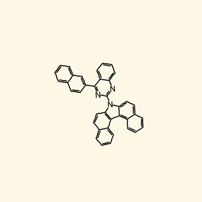 c1ccc2cc(-c3nc(-n4c5ccc6ccccc6c5c5c6ccccc6ccc54)nc4ccccc34)ccc2c1